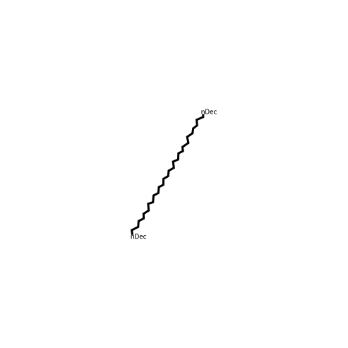 [CH2]CCCCCCCCCCCCCCCCCCCCCCCCCCCCCCCCCCCCCCCCCCCCCC[CH2]